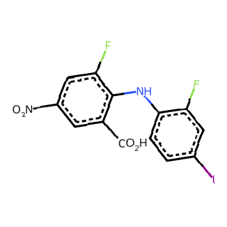 O=C(O)c1cc([N+](=O)[O-])cc(F)c1Nc1ccc(I)cc1F